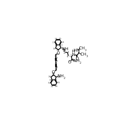 CN[C@@H](C)C(=O)N[C@@H](CCSN[C@H]1c2ccccc2C[C@H]1OCC#CC#CCO[C@@H]1Cc2ccccc2[C@@H]1N)C(N)=O